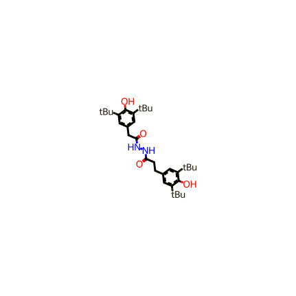 CC(C)(C)c1cc(CCC(=O)NNC(=O)Cc2cc(C(C)(C)C)c(O)c(C(C)(C)C)c2)cc(C(C)(C)C)c1O